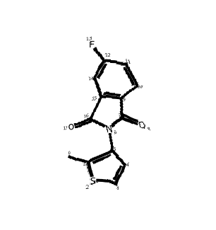 Cc1sccc1N1C(=O)c2ccc(F)cc2C1=O